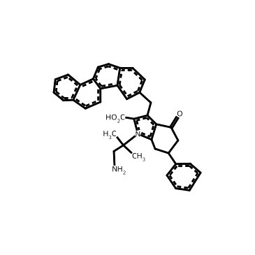 CC(C)(CN)n1c2c(c(Cc3ccc4ccc5c6ccccc6ccc5c4c3)c1C(=O)O)C(=O)CC(c1ccccc1)C2